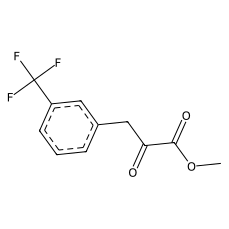 COC(=O)C(=O)Cc1cccc(C(F)(F)F)c1